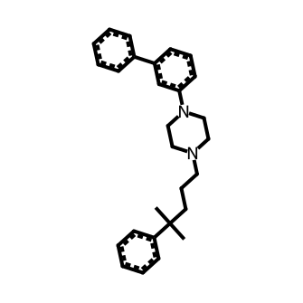 CC(C)(CCCN1CCN(c2cccc(-c3ccccc3)c2)CC1)c1ccccc1